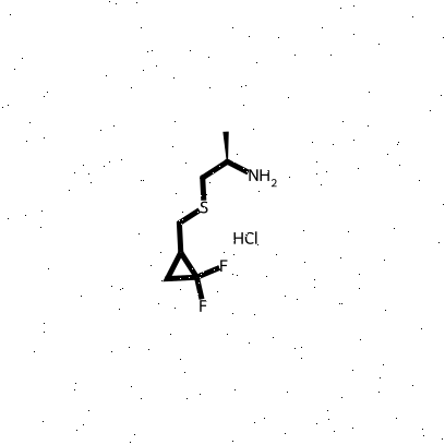 C[C@@H](N)CSCC1CC1(F)F.Cl